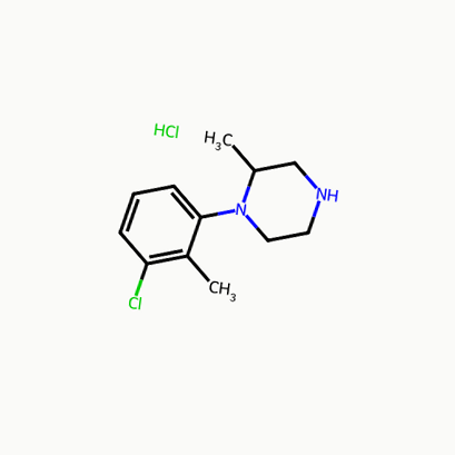 Cc1c(Cl)cccc1N1CCNCC1C.Cl